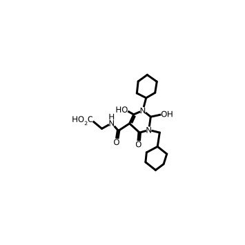 O=C(O)CNC(=O)C1=C(O)N(C2CCCCC2)C(O)N(CC2CCCCC2)C1=O